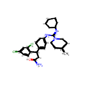 CC1CCN(/C(=N/C2CCCCC2)Nc2ccc(C(CC(N)=O)c3ccc(Cl)cc3Cl)cc2)CC1